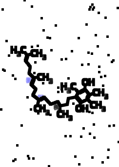 CC(C)=CCC/C(C)=C/CC/C(C)=C/CC[C@H](C)CCc1c(C)c(O)c(C)c(C)c1O